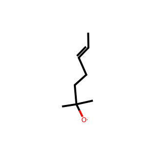 CC=CCCC(C)(C)[O]